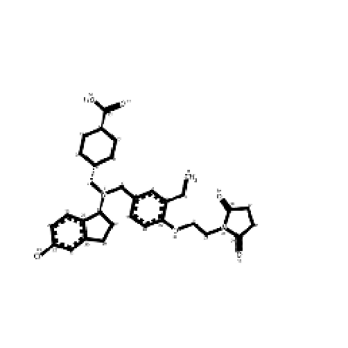 CCc1cc(CN(C[C@H]2CC[C@H](C(=O)O)CC2)[C@H]2CCc3cc(Cl)ccc32)ccc1OCCN1C(=O)CCC1=O